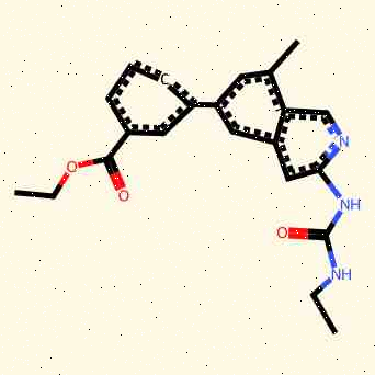 CCNC(=O)Nc1cc2cc(-c3cccc(C(=O)OCC)c3)cc(C)c2cn1